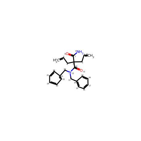 C=CCC(CC=C)(C(N)=O)C(=O)N(Cc1ccccc1)Cc1ccccc1